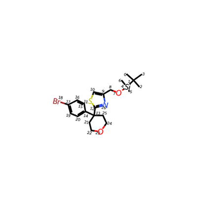 CC(C)(C)[Si](C)(C)OCc1csc(C2(c3ccc(Br)cc3)CCOCC2)n1